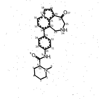 CN1CCCC[C@H]1C(=O)Nc1ccc(-c2ccn3ccc4c3c2CNCC4=O)cc1